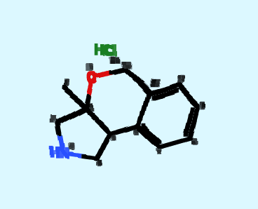 CC12CNCC1c1ccccc1CO2.Cl